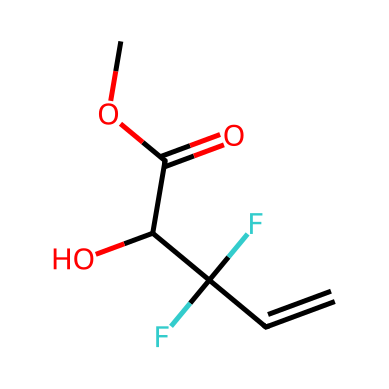 C=CC(F)(F)C(O)C(=O)OC